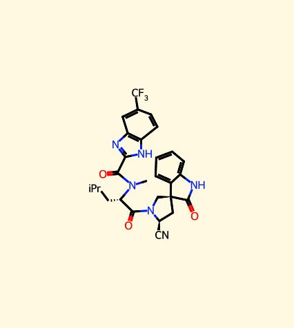 CC(C)C[C@@H](C(=O)N1C[C@]2(C[C@H]1C#N)C(=O)Nc1ccccc12)N(C)C(=O)c1nc2cc(C(F)(F)F)ccc2[nH]1